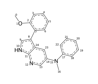 COc1ccccc1-c1c[nH]c2ncc(N(C)c3ccccc3)cc12